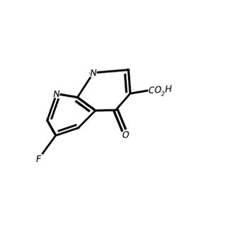 O=C(O)C1=C[N]c2ncc(F)cc2C1=O